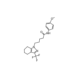 COc1ccc(NC(=O)CCCCn2nc(C(F)(F)F)c3c2CCCC3)cc1